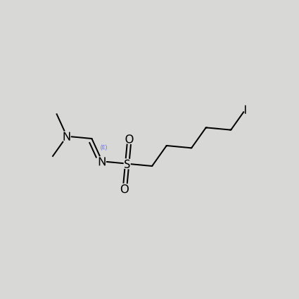 CN(C)/C=N/S(=O)(=O)CCCCCI